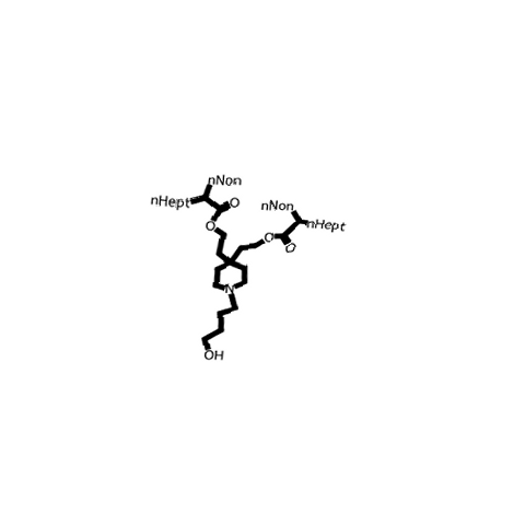 CCCCCCCCCC(CCCCCCC)C(=O)OCCC1(CCOC(=O)C(CCCCCCC)CCCCCCCCC)CCN(CCCCO)CC1